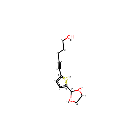 OCCCC#Cc1ccc(C2OCCO2)s1